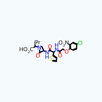 CC(C)C(C(=O)O)N1CC(NC(=O)C(NC(=O)COc2ccc(Cl)cc2[N+](=O)[O-])c2cccs2)C1=O